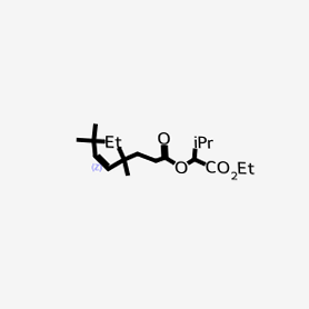 CCOC(=O)C(OC(=O)CCC(C)(C)/C=C\C(C)(C)CC)C(C)C